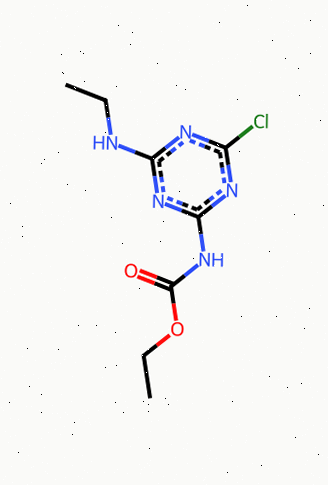 CCNc1nc(Cl)nc(NC(=O)OCC)n1